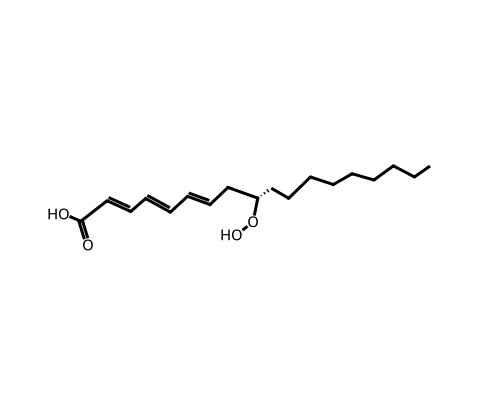 CCCCCCCCC[C@@H](CC=CC=CC=CC(=O)O)OO